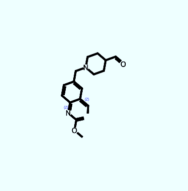 C=C(/N=C1/C=CC(CN2CCC(C=O)CC2)=C/C1=C/C)OC